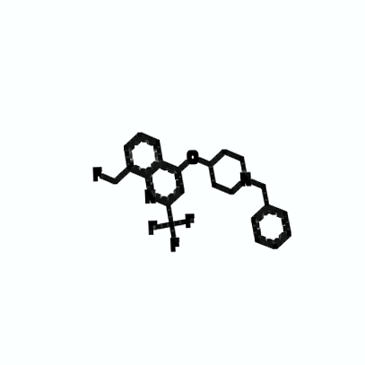 FCc1cccc2c(OC3CCN(Cc4ccccc4)CC3)cc(C(F)(F)F)nc12